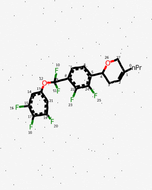 CCCC1=CCC(c2ccc(C(F)(F)Oc3cc(F)c(F)c(F)c3)c(F)c2F)OC1